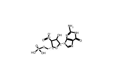 Nc1nc2c(ncn2[C@@H]2O[C@H](COP(=O)(O)O)C([N+](=O)[O-])C2O)c(=O)[nH]1